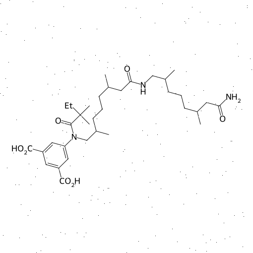 CCC(C)(C)C(=O)N(CC(C)CCCC(C)CC(=O)NCC(C)CCCC(C)CC(N)=O)c1cc(C(=O)O)cc(C(=O)O)c1